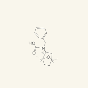 C[C@]12CC[C@](C)(O1)[C@@H](N(Cc1ccccc1)C(=O)O)C2